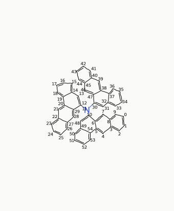 c1ccc2cc3c(cc2c1)c(N(c1cc2ccccc2c2cc4ccccc4cc12)c1cc2ccccc2c2cc4ccccc4cc12)cc1ccccc13